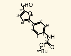 CC(C)(C)OC(=O)Nc1ccc(-c2ccc(C=O)o2)cc1